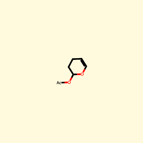 CC(=O)OC1CCC=CO1